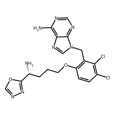 Nc1ncnc2c1ncn2Cc1c(OCCC[C@@H](N)c2nnco2)ccc(Cl)c1Cl